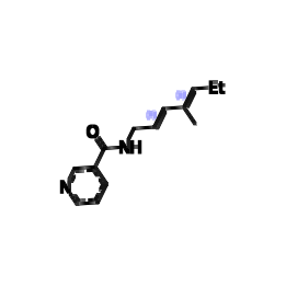 CC/C=C(C)/C=C/CNC(=O)c1cccnc1